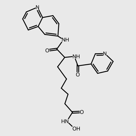 O=C(CCCCCC(NC(=O)c1cccnc1)C(=O)Nc1ccc2ncccc2c1)NO